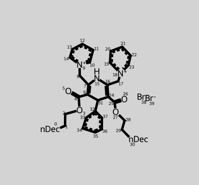 CCCCCCCCCCCCOC(=O)C1=C(C[n+]2ccccc2)NC(C[n+]2ccccc2)=C(C(=O)OCCCCCCCCCCCC)C1c1ccccc1.[Br-].[Br-]